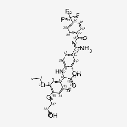 CCOc1cc(C(Nc2ccc(C(N)=NC(=O)c3ccc(C(F)(F)F)cc3)cc2)C(=O)O)c(F)cc1OCCO